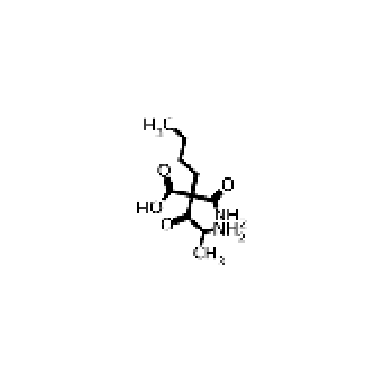 CCCCC(C(N)=O)(C(=O)O)C(=O)C(C)N